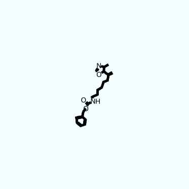 C=C(CCCCCCNC(=O)OCc1ccccc1)C1OC=NC1C